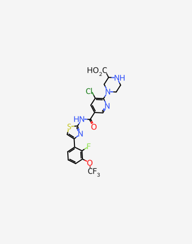 O=C(Nc1nc(-c2cccc(OC(F)(F)F)c2F)cs1)c1cnc(N2CCNC(C(=O)O)C2)c(Cl)c1